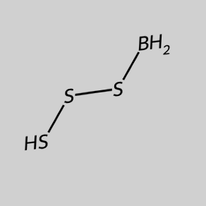 BSSS